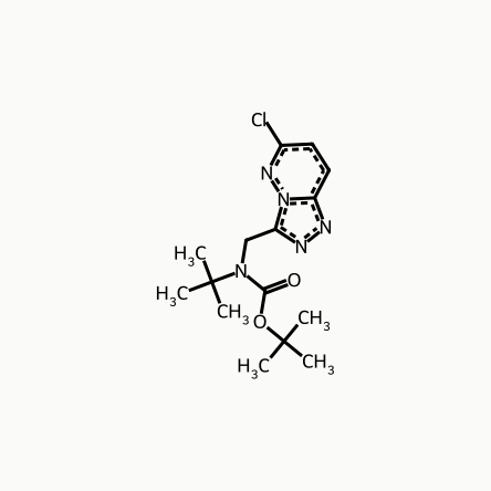 CC(C)(C)OC(=O)N(Cc1nnc2ccc(Cl)nn12)C(C)(C)C